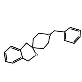 c1ccc(CN2CCC3(CC2)Cc2ccccc2CO3)cc1